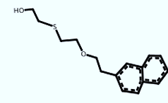 OCCSCCOCCc1ccc2ccccc2c1